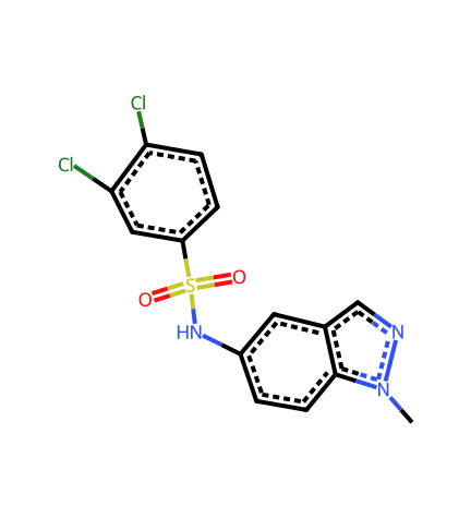 Cn1ncc2cc(NS(=O)(=O)c3ccc(Cl)c(Cl)c3)ccc21